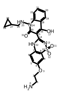 NCCOc1ccc2c(c1)S(=O)(=O)N=C(c1c(O)c3ccccc3n(NCC3CC3)c1=O)N2